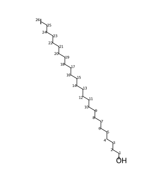 OCCCCCCCCCCCCCCCCCCCCCCCCCI